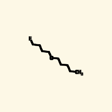 CCCCCOCCCCF